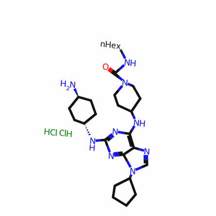 CCCCCCNC(=O)N1CCC(Nc2nc(N[C@H]3CC[C@H](N)CC3)nc3c2ncn3C2CCCC2)CC1.Cl.Cl